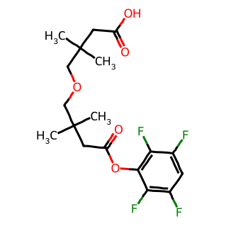 CC(C)(COCC(C)(C)CC(=O)Oc1c(F)c(F)cc(F)c1F)CC(=O)O